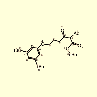 CCCCOC(=O)C(C(C)=O)C(=O)CCCOc1cc(C(C)(C)C)cc(C(C)(C)C)c1